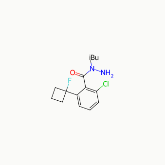 CCC(C)N(N)C(=O)c1c(Cl)cccc1C1(F)CCC1